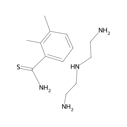 Cc1cccc(C(N)=S)c1C.NCCNCCN